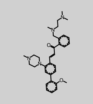 COc1ccccc1-c1ccc(C=CC(=O)c2ccccc2CN(C)CCN(C)C)c(N2CCN(C)CC2)c1